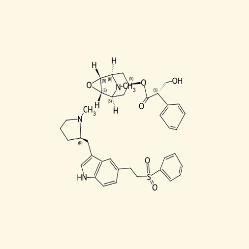 CN1CCC[C@@H]1Cc1c[nH]c2ccc(CCS(=O)(=O)c3ccccc3)cc12.CN1[C@@H]2C[C@@H](OC(=O)[C@H](CO)c3ccccc3)C[C@H]1[C@@H]1O[C@@H]12